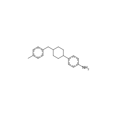 Cc1ccc(CC2CCC(c3ccc(N)cc3)CC2)cc1